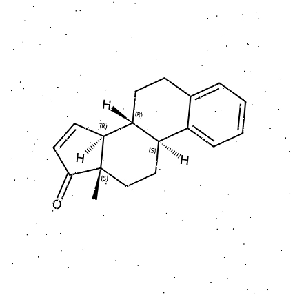 C[C@]12CC[C@@H]3c4ccccc4CC[C@H]3[C@@H]1C=CC2=O